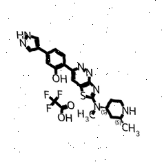 C[C@H]1C[C@@H](N(C)c2nc3nnc(-c4ccc(-c5cn[nH]c5)cc4O)cc3s2)CCN1.O=C(O)C(F)(F)F